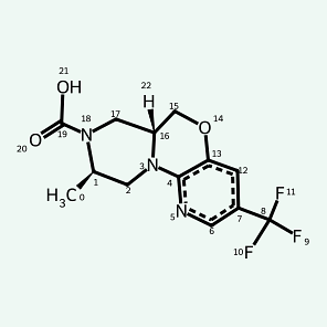 C[C@@H]1CN2c3ncc(C(F)(F)F)cc3OC[C@H]2CN1C(=O)O